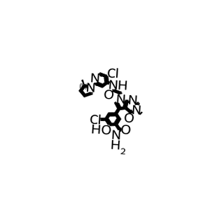 C[C@@H]1CCCN1c1cc(NC(=O)Cn2cc(-c3cc(Cl)c(O)c(C(N)=O)c3)c3c(=O)n(C)cnc32)c(Cl)cn1